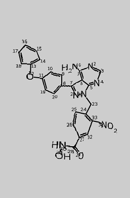 Nc1ncnc2c1c(-c1ccc(Oc3ccccc3)cc1)nn2Cc1ccc(C(=O)NO)cc1[N+](=O)[O-]